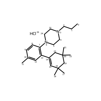 CCCN1CCN(c2ccc(C)cc2C2=CC(C)(C)CC(C)(C)C2)CC1.Cl